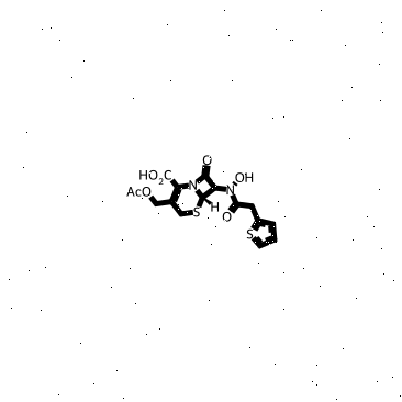 CC(=O)OCC1=C(C(=O)O)N2C(=O)C(N(O)C(=O)Cc3cccs3)[C@@H]2SC1